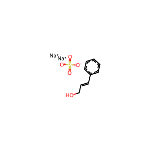 O=S(=O)([O-])[O-].OCC=Cc1ccccc1.[Na+].[Na+]